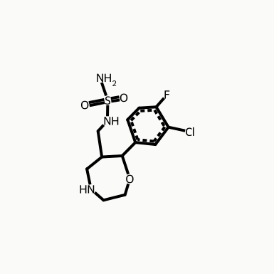 NS(=O)(=O)NCC1CNCCOC1c1ccc(F)c(Cl)c1